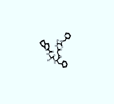 CC(C)[C@H](NC(=O)CC1OC1C(Cc1ccccc1)NC(=O)[C@H](NC(=O)c1ccc2ccccc2n1)C(C)C)C(=O)NCc1ccccn1